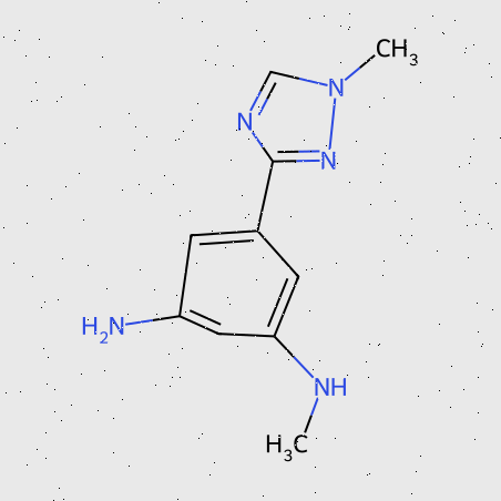 CNc1cc(N)cc(-c2ncn(C)n2)c1